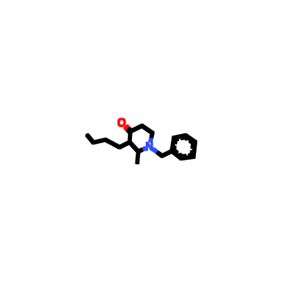 CCCCC1C(=O)CCN(Cc2ccccc2)C1C